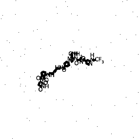 NC(=O)c1nn(-c2ccc(C(=O)NCCC#CCCNc3cccc4c3C(=O)N(C3CCC(=O)NC3=O)C4=O)cc2)cc1NC(=O)c1coc(-c2ccnc(NCC(F)(F)F)c2)n1